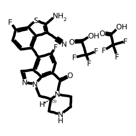 N#Cc1c(N)sc2c(F)ccc(-c3c(F)cc4c5c3cnn5C[C@@H]3CNCCN3C4=O)c12.O=C(O)C(F)(F)F.O=C(O)C(F)(F)F